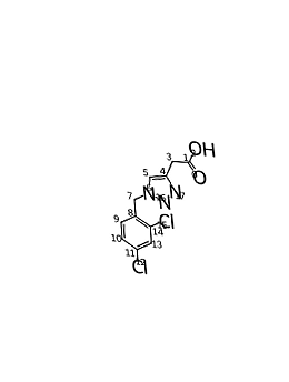 O=C(O)Cc1cn(Cc2ccc(Cl)cc2Cl)nn1